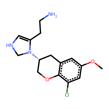 COc1cc(Cl)c2c(c1)C[C@@H](N1CNC=C1CCN)CO2